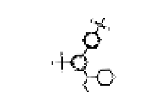 CCN(c1nc(-c2ccc(S(C)(=O)=O)cc2)cc(C(F)(F)F)n1)C1CCOCC1